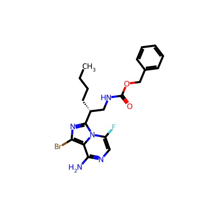 CCCC[C@H](CNC(=O)OCc1ccccc1)c1nc(Br)c2c(N)ncc(F)n12